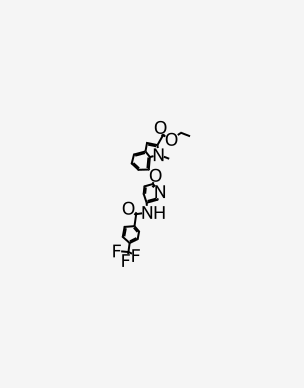 CCOC(=O)c1cc2cccc(Oc3ccc(NC(=O)c4ccc(C(F)(F)F)cc4)cn3)c2n1C